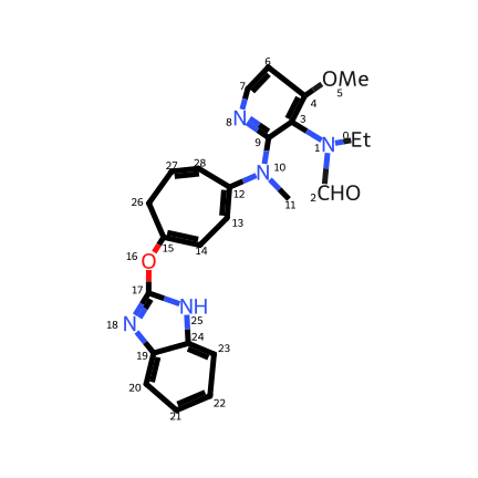 CCN(C=O)c1c(OC)ccnc1N(C)C1=CC=C(Oc2nc3ccccc3[nH]2)CC=C1